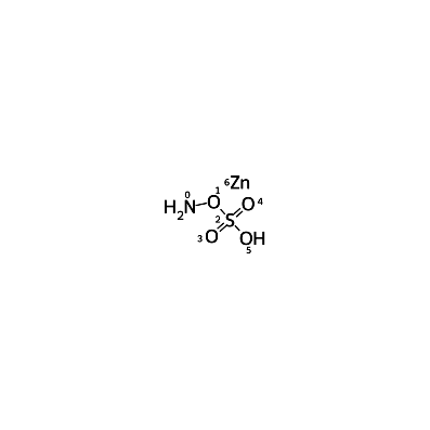 NOS(=O)(=O)O.[Zn]